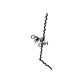 CCCCCCCC/C=C\CCCCCCCC(=O)NC(C/C=C/CCCCCCCCCCCCC)CNC(=O)CCl